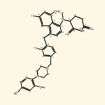 COc1cc(C#N)cnc1N1CCN(Cc2ccc(Cc3ccc(N(C)C4CCC(=O)NC4=O)c4c(C=O)cc(F)cc34)c(F)c2)CC1